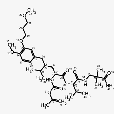 C=C(C)OC(=O)N[C@@H](C[C@H](Cc1ccc(OC)c(OCCCOC)c1)C(C)C)C(=O)C[C@H](C(=O)NCC(C)(C)C(N)=O)C(C)C